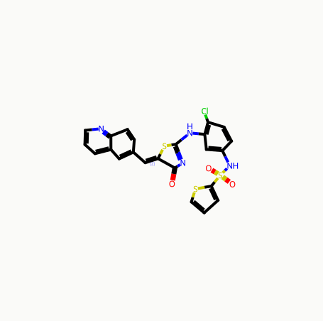 O=C1N=C(Nc2cc(NS(=O)(=O)c3cccs3)ccc2Cl)S/C1=C\c1ccc2ncccc2c1